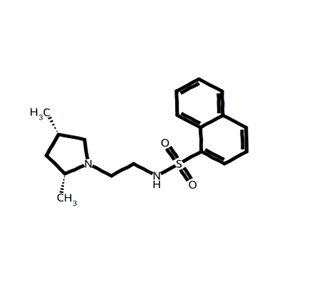 C[C@H]1C[C@@H](C)N(CCNS(=O)(=O)c2cccc3ccccc23)C1